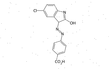 O=C(O)c1ccc(/N=N/C2C(O)=Nc3ccc(Cl)cc32)cc1